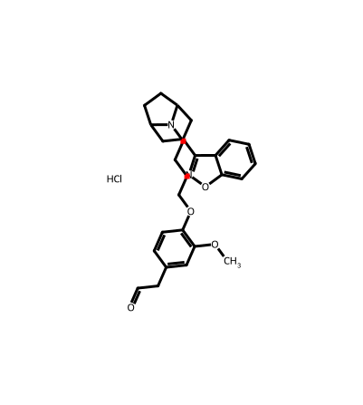 COc1cc(CC=O)ccc1OCCCCN1C2CCC1CC(c1noc3ccccc13)C2.Cl